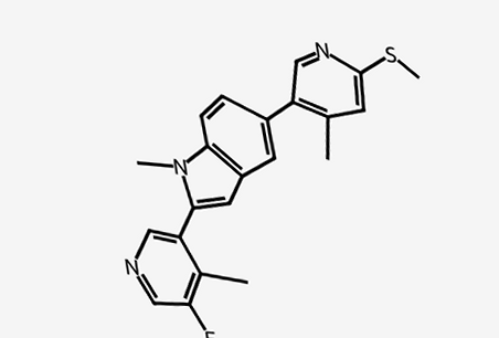 CSc1cc(C)c(-c2ccc3c(c2)cc(-c2cncc(F)c2C)n3C)cn1